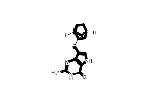 Nc1nc2c(C[C@H]3C[C@@H]4CC[C@H]3C4)c[nH]c2c(=O)[nH]1